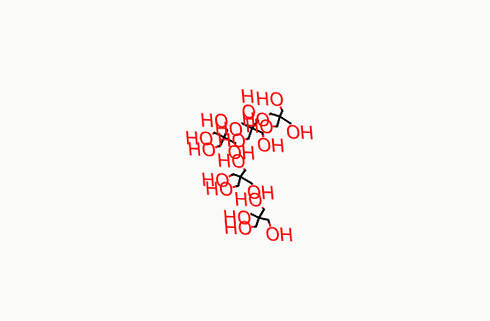 OCC(CO)(CO)CO.OCC(CO)(CO)CO.OCC(CO)(CO)CO.OCC(CO)(CO)CO.OCC(CO)(CO)CO